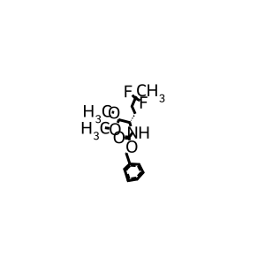 COC(OC)[C@H](CCC(C)(F)F)NC(=O)OCc1ccccc1